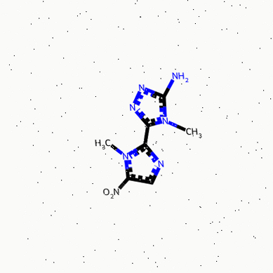 Cn1c([N+](=O)[O-])cnc1-c1nnc(N)n1C